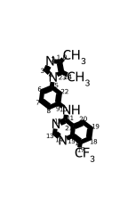 Cc1ncn(-c2cccc(Nc3ncnc4c(C(F)(F)F)cccc34)c2)c1C